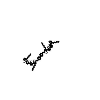 CCCCCCc1ccsc1-c1ccc(-c2ccc(-c3sc(/C=C/c4ccc(-c5ccc(/C=C/c6cc(CCCCCC)c(-c7ccc(-c8ccc(-c9sccc9CCCCCC)s8)s7)s6)cc5)cc4)cc3CCCCCC)s2)s1